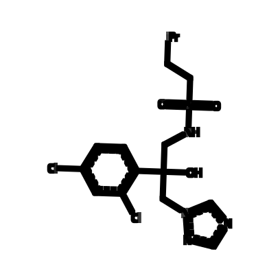 CC(C)CCS(=O)(=O)NCC(O)(Cn1cncn1)c1ccc(Cl)cc1Cl